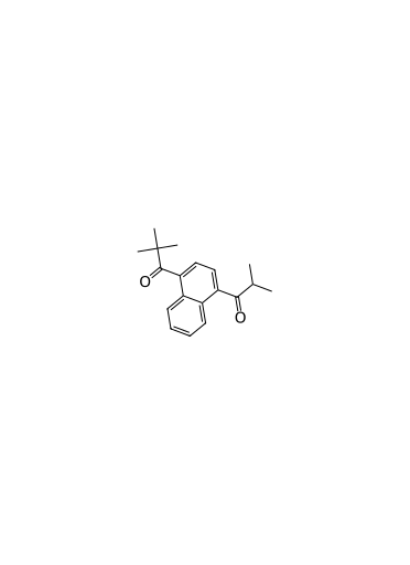 CC(C)C(=O)c1ccc(C(=O)C(C)(C)C)c2ccccc12